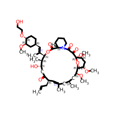 C=CC[C@@H]1/C=C(\C)C[C@H](C)C[C@H](OC)[C@H]2O[C@@](O)(C(=O)C(=O)N3CCCC[C@H]3C(=O)O[C@H](/C(C)=C/[C@@H]3CC[C@@H](OCCO)[C@H](OC)C3)[C@H](C)[C@@H](O)CC1=O)[C@H](C)C[C@@H]2OC